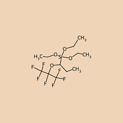 CCO[Si](OCC)(OCC)C(CC)OC(F)(C(F)(F)F)C(F)(F)F